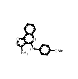 COc1ccc(Nc2nc3ccccc3c3onc(N)c23)cc1